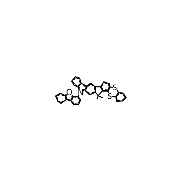 CC1(C)c2cc3c(cc2-c2ccc4c(c21)Sc1ccccc1S4)c1ccccc1n3-c1cccc2c1oc1ccccc12